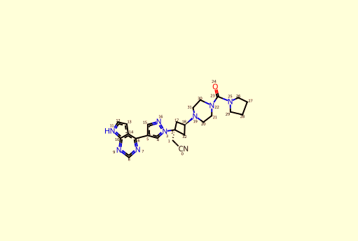 N#CC[C@]1(n2cc(-c3ncnc4[nH]ccc34)cn2)C[C@@H](N2CCN(C(=O)N3CCCC3)CC2)C1